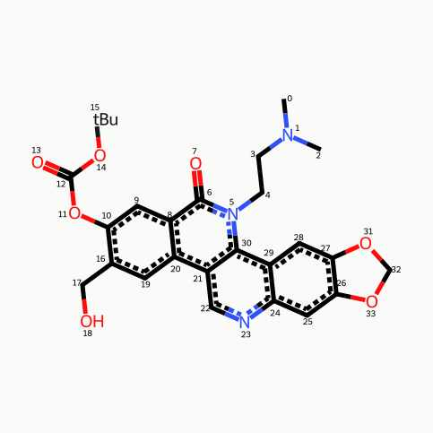 CN(C)CCn1c(=O)c2cc(OC(=O)OC(C)(C)C)c(CO)cc2c2cnc3cc4c(cc3c21)OCO4